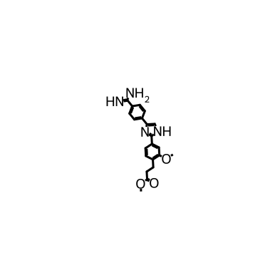 COC(=O)CCc1ccc(-c2nc(-c3ccc(C(=N)N)cc3)c[nH]2)cc1OC